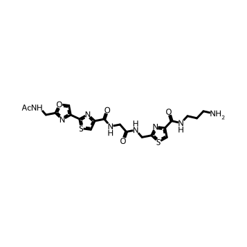 CC(=O)NCc1nc(-c2nc(C(=O)NCC(=O)NCc3nc(C(=O)NCCCN)cs3)cs2)co1